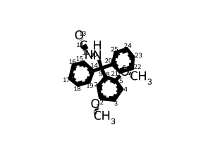 COc1ccc(OC)c(C(NN=C=O)(c2ccccc2)c2ccccc2)c1